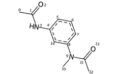 CC(=O)Nc1cccc(N(C)C(C)=O)c1